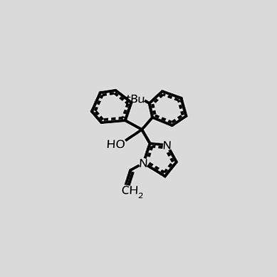 C=Cn1ccnc1C(O)(c1ccccc1)c1ccccc1C(C)(C)C